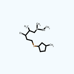 CBB(C)CC(C)C(CC)CCSC1CCC(C)C1